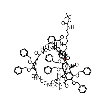 CC(C)(C)OC(=O)NCCCCC(CN1CCNC(=O)c2ccc(c(OCc3ccccc3)c2OCc2ccccc2)C(=O)NCCN2CCNC(=O)c3ccc(c(OCc4ccccc4)c3OCc3ccccc3)C(=O)NCCN(CCNC(=O)c3ccc(c(OCc4ccccc4)c3OCc3ccccc3)C(=O)NCC2)CC1)NC(=O)c1cccc(=O)n1OCc1ccccc1